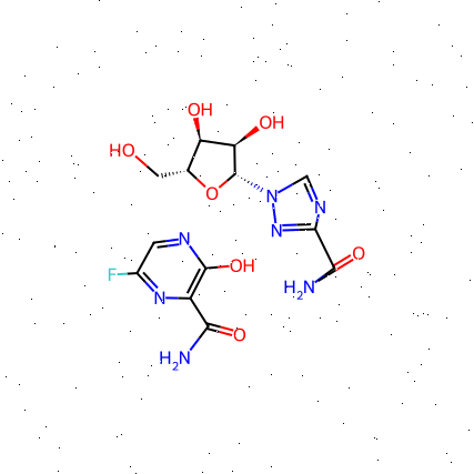 NC(=O)c1nc(F)cnc1O.NC(=O)c1ncn([C@@H]2O[C@H](CO)[C@@H](O)[C@H]2O)n1